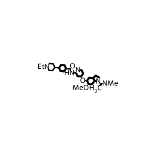 C=C(NC)n1ccc2cc(Oc3ccnc(NC(=O)c4ccc(C5CCN(CC)CC5)cc4)c3)c(OC)cc21